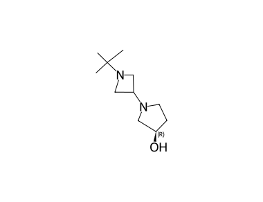 CC(C)(C)N1CC(N2CC[C@@H](O)C2)C1